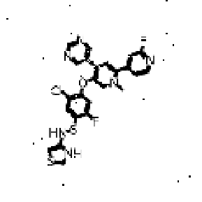 CN1CC(Oc2cc(F)c(SNC3=CSCN3)cc2Cl)=C(c2cncnc2)C=C1c1ccnc(F)c1